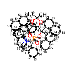 CC(c1ccccc1)N1C=Cc2ccccc2C1P1(=O)OC(c2cccc3ccccc23)(c2cccc3ccccc23)C2OC(C)(C)OC2C(c2cccc3ccccc23)(c2cccc3ccccc23)O1